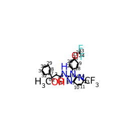 CC(O)(CC(=O)Nc1nc2ccc(C(F)(F)F)nc2n1-c1ccc(OC(F)F)cc1)c1ccccc1